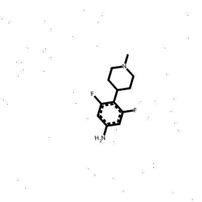 CN1CCC(c2c(F)cc(N)cc2F)CC1